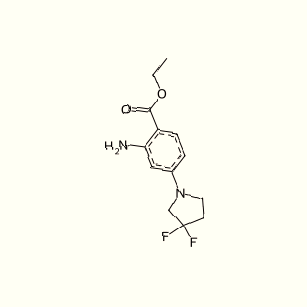 CCOC(=O)c1ccc(N2CCC(F)(F)C2)cc1N